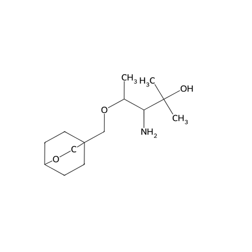 CC(OCC12CCC(CC1)OC2)C(N)C(C)(C)O